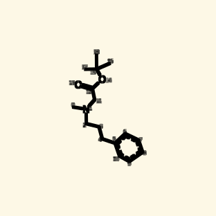 CN(CCCc1ccccc1)CC(=O)OC(C)(C)C